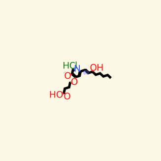 CCCCCC(O)/C=C/c1cc(OCCCC(=O)O)c(OC)cn1.Cl